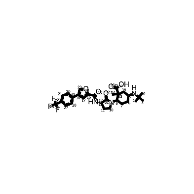 CC(C)(C)NC1CCC(N2CC[C@H](NC(=O)c3cc(-c4ccc(C(F)(F)F)cc4)co3)C2=O)C(C)(C(=O)O)C1